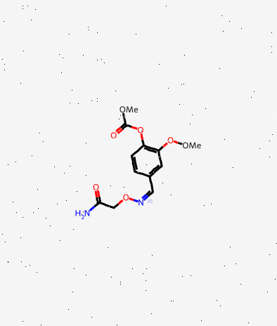 COOc1cc(/C=N\OCC(N)=O)ccc1OC(=O)OC